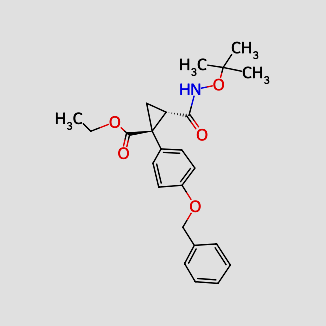 CCOC(=O)[C@@]1(c2ccc(OCc3ccccc3)cc2)C[C@@H]1C(=O)NOC(C)(C)C